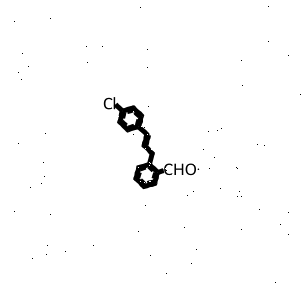 O=[C]c1ccccc1CC=Cc1ccc(Cl)cc1